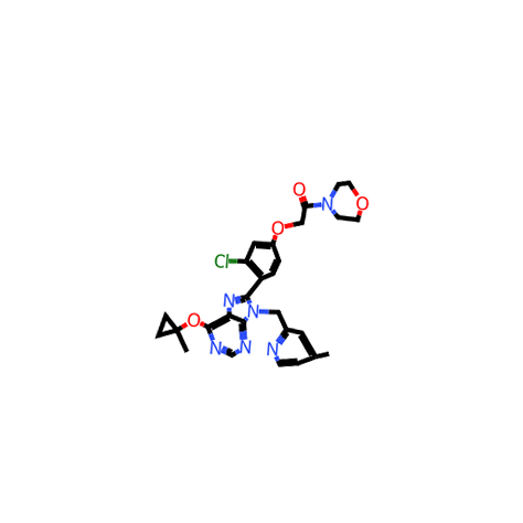 Cc1ccnc(Cn2c(-c3ccc(OCC(=O)N4CCOCC4)cc3Cl)nc3c(OC4(C)CC4)ncnc32)c1